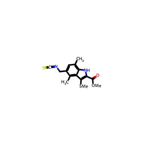 COC(=O)c1[nH]c2c(C)cc(CN=C=S)c(C)c2c1SC